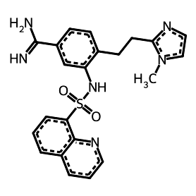 Cn1ccnc1CCc1ccc(C(=N)N)cc1NS(=O)(=O)c1cccc2cccnc12